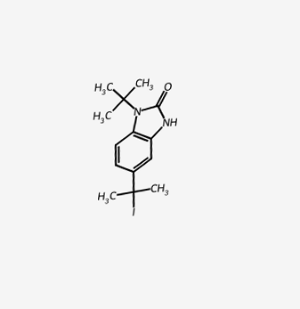 CC(C)(I)c1ccc2c(c1)[nH]c(=O)n2C(C)(C)C